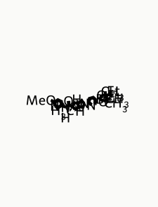 CCC(CC)C1(C)OB(c2ccc(N3C[C@@H]4C[C@](C)(C(=O)Nc5ccc(OC)nc5)C[C@@H]4C3)nc2)OC1(C)C